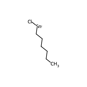 CCCCC[CH2][Sn][Cl]